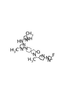 Cc1cc(Nc2cc(C)[nH]n2)nc(N2CCC3(CC2)CC(=O)N(C(C)c2ccc(-n4cc(F)cn4)nc2)C3)n1